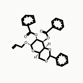 C=CCO[C@H]1O[C@@H]2COC(c3ccccc3)O[C@@H]2[C@H](OC(=O)c2ccccc2)[C@H]1OC(=O)c1ccccc1